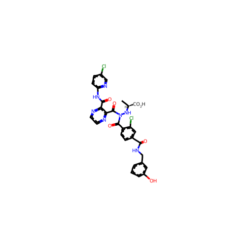 C[C@H](NN(C(=O)c1ccc(C(=O)NCc2cccc(O)c2)cc1Cl)C(=O)c1nccnc1C(=O)Nc1ccc(Cl)cn1)C(=O)O